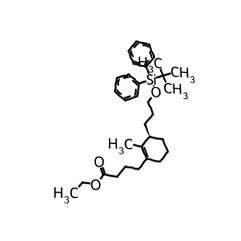 CCOC(=O)CCCC1=C(C)[C@@H](CCCO[Si](c2ccccc2)(c2ccccc2)C(C)(C)C)CCC1